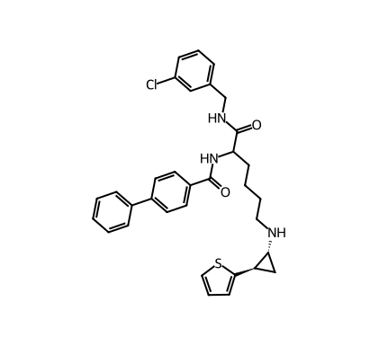 O=C(NC(CCCCN[C@@H]1C[C@H]1c1cccs1)C(=O)NCc1cccc(Cl)c1)c1ccc(-c2ccccc2)cc1